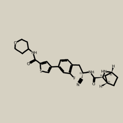 N#C[C@H](Cc1ccc(-c2csc(C(=O)NC3CCOCC3)c2)cc1F)NC(=O)[C@H]1N[C@@H]2CC[C@H]1C2